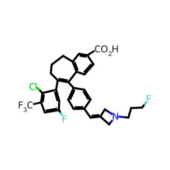 O=C(O)c1ccc2c(c1)CCCC(c1cc(F)cc(C(F)(F)F)c1Cl)=C2c1ccc(C=C2CN(CCCF)C2)cc1